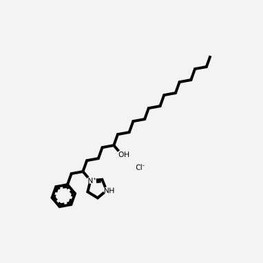 CCCCCCCCCCCCCC(O)CCCC(Cc1ccccc1)[N+]1=CNCC1.[Cl-]